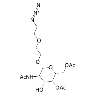 CC(=O)N[C@H]1[C@H](OCCOCCN=[N+]=[N-])O[C@H](COC(C)=O)[C@H](OC(C)=O)[C@@H]1O